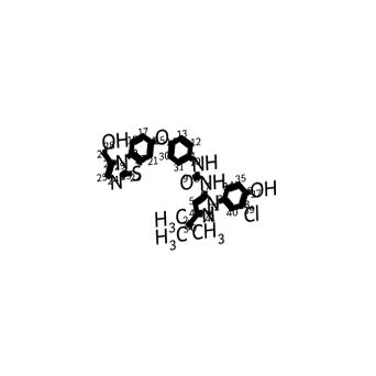 CC(C)(C)c1cc(NC(=O)Nc2ccc(Oc3ccc4c(c3)sc3ncc(CO)n34)cc2)n(-c2ccc(O)c(Cl)c2)n1